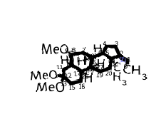 C/C=C1/CC[C@H]2[C@@H]3C[C@@H](OC)[C@H]4CC(OC)(OC)CC[C@@H]4[C@H]3CC[C@]12C